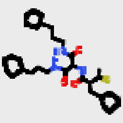 CC(=S)C(Cc1ccccc1)C(=O)NC(C(=O)NCCCc1ccccc1)C(=O)NCCCc1ccccc1